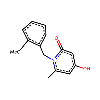 COc1ccccc1Cn1c(C)cc(O)cc1=O